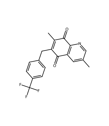 CC1=C(Cc2ccc(C(F)(F)F)cc2)C(=O)c2cc(C)cnc2C1=O